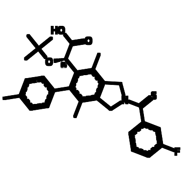 Cc1ccc(-c2c(C)c3c(c(C)c2[C@H](OC(C)(C)C)C(=O)O)CN(C(=S)c2cccc(F)c2)C3)cc1